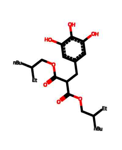 CCCCC(CC)COC(=O)C(Cc1cc(O)c(O)c(O)c1)C(=O)OCC(CC)CCCC